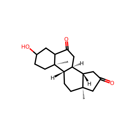 C[C@]12CC[C@H]3[C@@H](CC(=O)C4CC(O)CC[C@@]43C)[C@@H]1CC(=O)C2